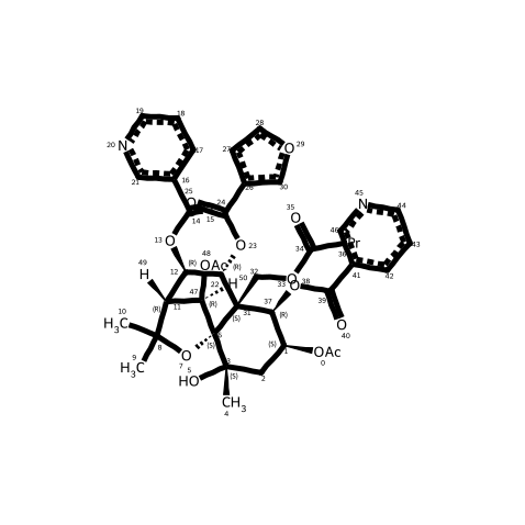 CC(=O)O[C@H]1C[C@](C)(O)[C@]23OC(C)(C)[C@H]([C@@H](OC(=O)c4cccnc4)[C@H](OC(=O)c4ccoc4)[C@]2(COC(=O)C(C)C)[C@H]1OC(=O)c1cccnc1)[C@H]3OC(C)=O